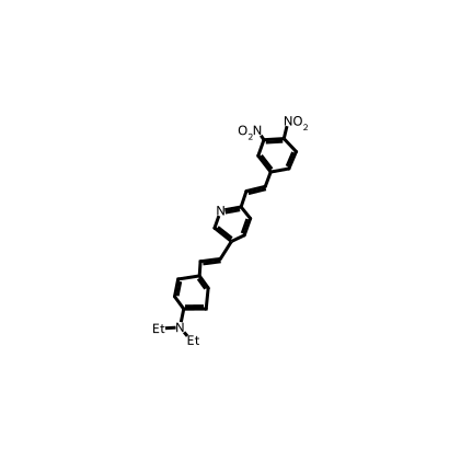 CCN(CC)c1ccc(/C=C/c2ccc(/C=C/c3ccc([N+](=O)[O-])c([N+](=O)[O-])c3)nc2)cc1